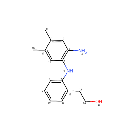 Cc1cc(N)c(Nc2ccccc2CCO)cc1C